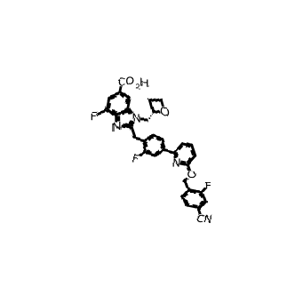 N#Cc1ccc(COc2cccc(-c3ccc(Cc4nc5c(F)cc(C(=O)O)cc5n4C[C@@H]4CCO4)c(F)c3)n2)c(F)c1